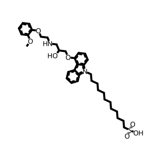 COc1ccccc1OCCNCC(O)COc1cccc2c1c1ccccc1n2CCCCCCCCCCCCS(=O)(=O)O